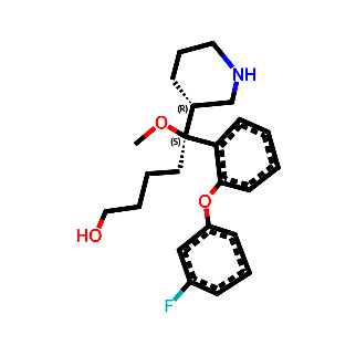 CO[C@](CCCCO)(c1ccccc1Oc1cccc(F)c1)[C@@H]1CCCNC1